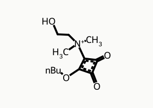 CCCCOc1c([N+](C)(C)CCO)c(=O)c1=O